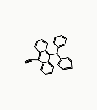 C#Cc1c2ccccc2c(N(c2ccccc2)c2ccccc2)c2ccccc12